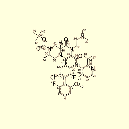 COc1cccc(F)c1-c1c(Cl)cc2c3c(c(=O)n(-c4c(C)ccnc4C(C)C)c2c1F)N(CCN(C)C)C(=O)[C@H]1CN(C(=O)OC(C)(C)C)[C@H](C)CN31